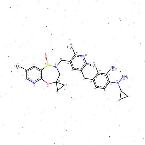 Cc1cnc2c(c1)[S+]([O-])N(Cc1cc(Cc3ccc(N(N)C4CC4)c(N)c3C)cnc1C)CC1(CC1)O2